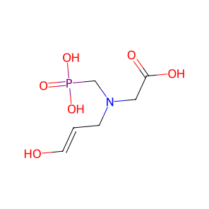 O=C(O)CN(CC=CO)CP(=O)(O)O